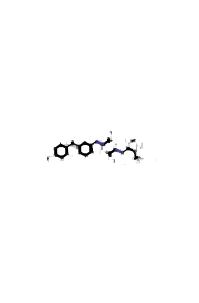 COc1ccc(C(=O)c2cccc(/C=c3\[nH]c(=O)/c(=C/c4nc[nH]c4C(C)(C)C)[nH]c3=O)c2)cc1